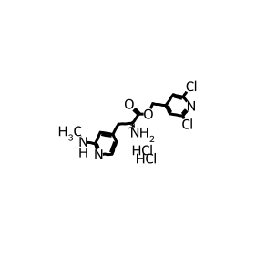 CNc1cc(C[C@H](N)C(=O)OCc2cc(Cl)nc(Cl)c2)ccn1.Cl.Cl